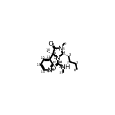 CCCC[C@H]1N(C)C(=O)[C@](C)(c2cccnc2)N1C(=O)NC